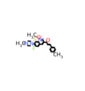 CCSc1c(N2CCN(C)CC2)c(F)cc2cc(C(=O)C=Cc3ccc(C)cc3)c[n+]([O-])c12